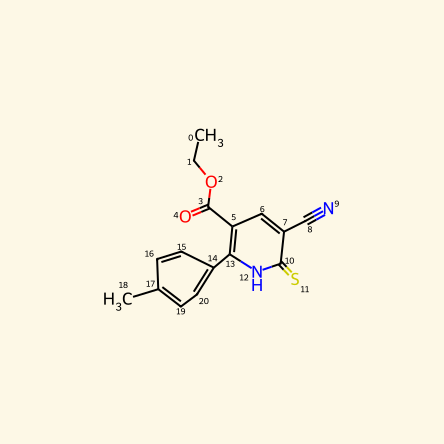 CCOC(=O)c1cc(C#N)c(=S)[nH]c1-c1ccc(C)cc1